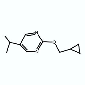 CC(C)c1cnc(OCC2CC2)nc1